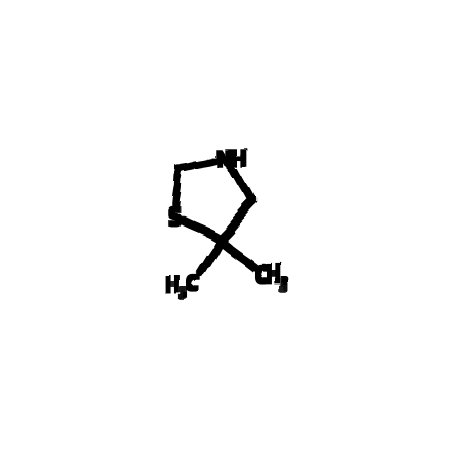 CC1(C)CNCS1